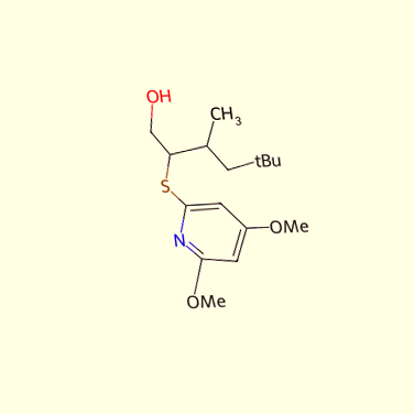 COc1cc(OC)nc(SC(CO)C(C)CC(C)(C)C)c1